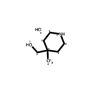 Cl.OCC1(C(F)(F)F)CCNCC1